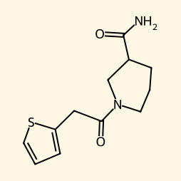 NC(=O)C1CCCN(C(=O)Cc2cccs2)C1